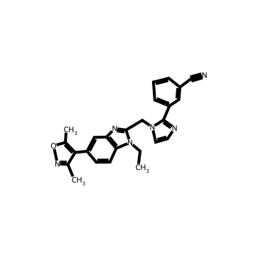 CCn1c(Cn2ccnc2-c2cccc(C#N)c2)nc2cc(-c3c(C)noc3C)ccc21